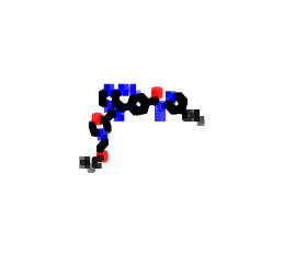 COCCN1CCO[C@@H](c2nc(-c3ccc(C(=O)Nc4cc(C)ccn4)cc3)c3c(N)nccn23)C1